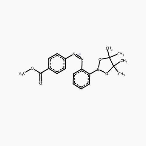 COC(=O)c1ccc(/N=N\c2ccccc2B2OC(C)(C)C(C)(C)O2)cc1